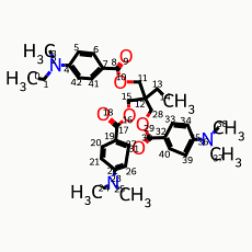 CCN(C)c1ccc(C(=O)OCC(CC)(COC(=O)c2ccc(N(C)C)cc2)COC(=O)c2ccc(N(C)C)cc2)cc1